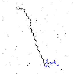 CCCCCCCCCCCCCCCCCCCCCCCCCCCCCCCCCCCCC(CN)NCCN